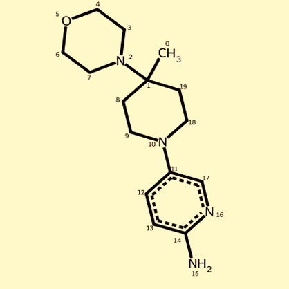 CC1(N2CCOCC2)CCN(c2ccc(N)nc2)CC1